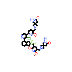 COc1nc(-c2ccnc(-c3cccc4c3CC[C@@H]4Oc3nc(OC)c(CN4CC5(CNC(=O)C5)C4)cc3C(F)(F)F)c2Cl)ccc1CN1CC2(CNC(=O)C2)C1